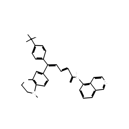 CN1CCOc2cc(/C(=C\C=C\C(=O)Nc3cccc4cnccc34)c3ccc(C(F)(F)F)cc3)ccc21